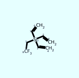 C=C[Si](C=C)(C=C)CC(F)(F)F